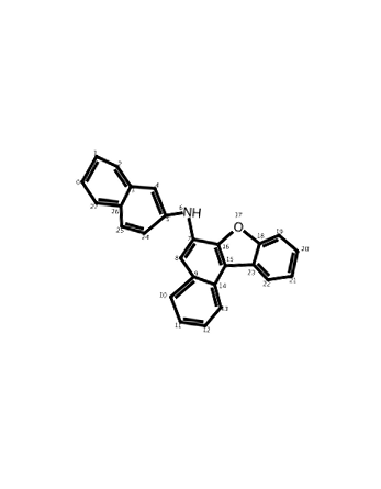 c1ccc2cc(Nc3cc4ccccc4c4c3oc3ccccc34)ccc2c1